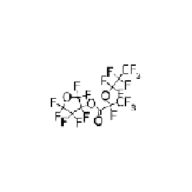 O=C(OC1(F)C(F)(F)OC(F)(F)C1(F)F)C(F)(OC(F)(F)C(F)(F)C(F)(F)F)C(F)(F)F